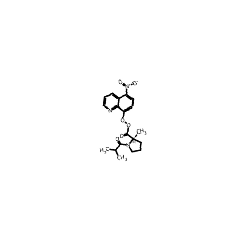 CC(C)C(=O)N1CCC[C@@]1(C)C(=O)OOc1ccc([N+](=O)[O-])c2cccnc12